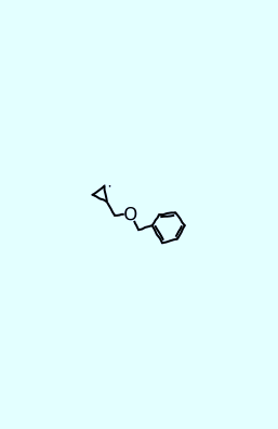 [CH]1CC1COCc1ccccc1